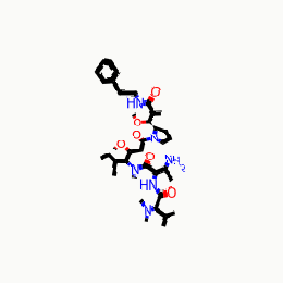 CCC(C)C(C(CC(=O)N1CCC[C@H]1C(OC)C(C)C(=O)NCCc1ccccc1)OC)N(C)C(=O)C(NC(=O)C(C(C)C)N(C)C)C(C)N